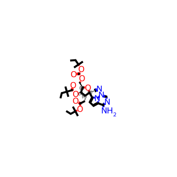 CCC(C)(C)OC(=O)C[C@@H]1[C@H](OC(=O)C(C)(C)CC)[C@@H](COC(=O)OC(C)(C)CC)O[C@@]1(C#N)c1ccc2c(N)ncnn12